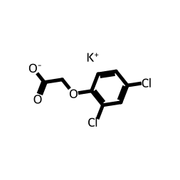 O=C([O-])COc1ccc(Cl)cc1Cl.[K+]